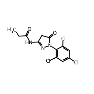 CCC(=O)NC1=NN(c2c(Cl)cc(Cl)cc2Cl)C(=O)C1